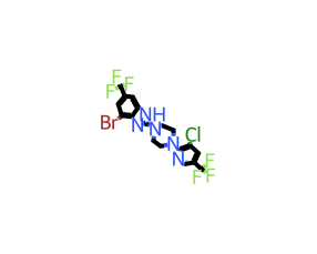 FC(F)(F)c1cnc(N2CCN(c3nc4c(Br)cc(C(F)(F)F)cc4[nH]3)CC2)c(Cl)c1